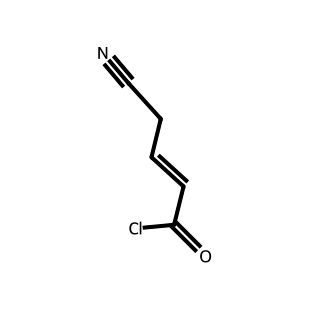 N#CCC=CC(=O)Cl